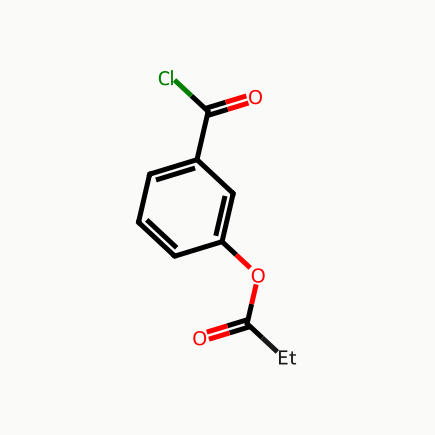 CCC(=O)Oc1cccc(C(=O)Cl)c1